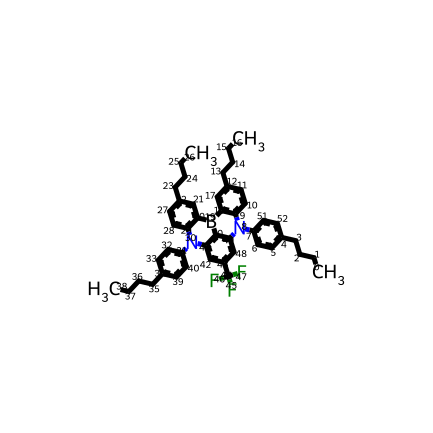 CCCCc1ccc(N2c3ccc(CCCC)cc3B3c4cc(CCCC)ccc4N(c4ccc(CCCC)cc4)c4cc(C(F)(F)F)cc2c43)cc1